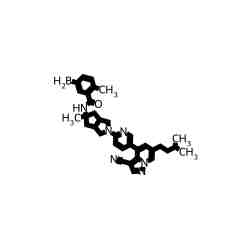 Bc1ccc(C)c(C(=O)NC2(C)CC3CN(c4ccc(-c5cc(CCC(C)C)cn6ncc(C#N)c56)cn4)CC3C2)c1